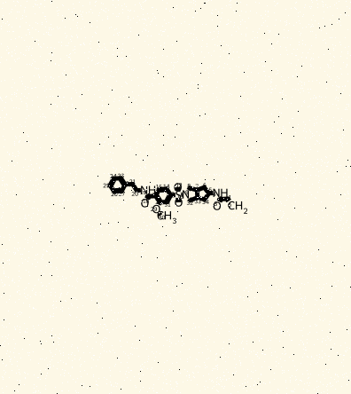 C=CC(=O)NC1CC2CN(S(=O)(=O)c3ccc(C(=O)NCCc4ccccc4)c(OC)c3)CC2C1